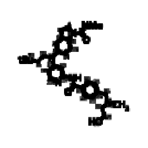 CNC(=O)n1ccc2cc(N(CCC(C)(C)C)c3ccnc(NC(=O)c4ccc(CN(C)CCO)cc4)c3)ccc21